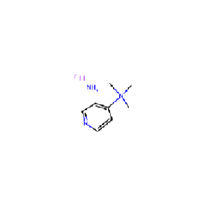 C[N+](C)(C)c1ccncc1.I.N.[I-]